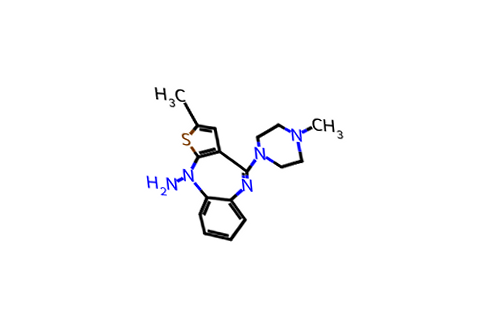 Cc1cc2c(s1)N(N)c1ccccc1N=C2N1CCN(C)CC1